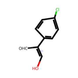 O=C/C(=C\O)c1ccc(Cl)cc1